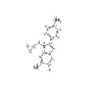 N#Cc1cc2c(cc1F)cc(-c1ccc(N)cc1)n2CC1CC1